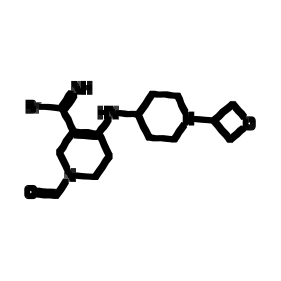 N=C(Br)C1=C(NC2CCN(C3COC3)CC2)CCN(C=O)C1